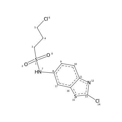 O=S(=O)(CCCCl)Nc1ccc2nc(Cl)sc2c1